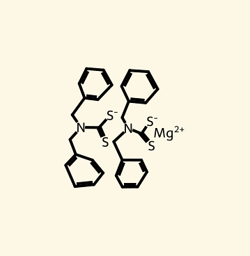 S=C([S-])N(Cc1ccccc1)Cc1ccccc1.S=C([S-])N(Cc1ccccc1)Cc1ccccc1.[Mg+2]